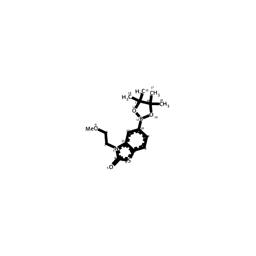 COCCn1c(=O)sc2ccc(B3OC(C)(C)C(C)(C)O3)cc21